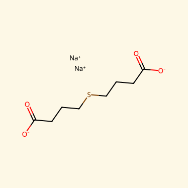 O=C([O-])CCCSCCCC(=O)[O-].[Na+].[Na+]